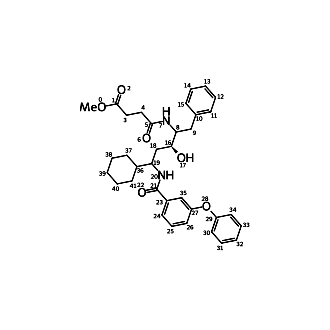 COC(=O)CCC(=O)NC(Cc1ccccc1)[C@@H](O)CC(NC(=O)c1cccc(Oc2ccccc2)c1)C1CCCCC1